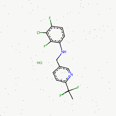 CC(F)(F)c1ccc(CNc2ccc(F)c(Cl)c2F)cn1.Cl